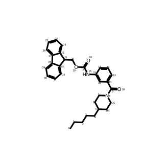 CCCCCC1CCN(C(=O)c2cccc(NC(=O)OCC3c4ccccc4-c4ccccc43)c2)CC1